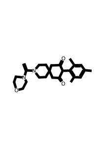 C=C(N1CCOCC1)N1CCC2(CC1)CC(=O)C(c1c(C)cc(C)cc1C)C(=O)C2